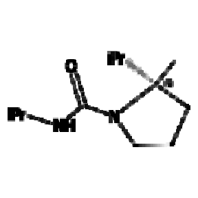 CC(C)NC(=O)N1CCC[C@@]1(C)C(C)C